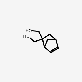 OCC1(CO)CC2C=CC1C2